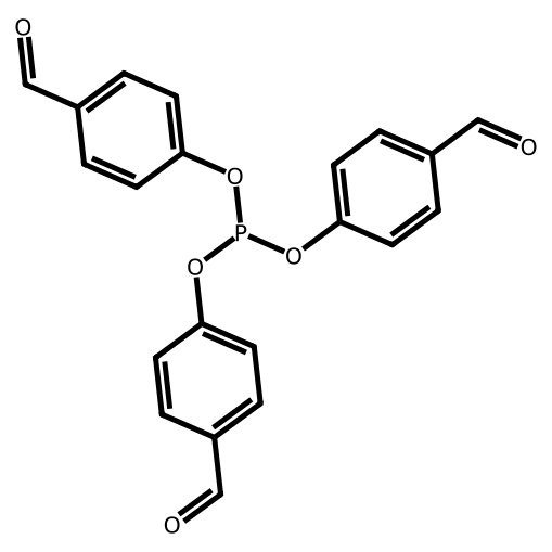 O=Cc1ccc(OP(Oc2ccc(C=O)cc2)Oc2ccc(C=O)cc2)cc1